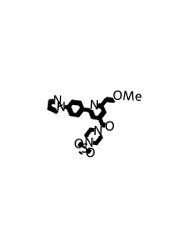 CO/C=C/c1cc(C(=O)N2CCN(S(C)(=O)=O)CC2)cc(-c2ccc(-n3cccn3)cc2)n1